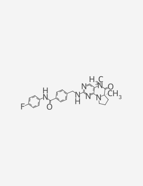 CN1C(=O)[C@@]2(C)CCCN2c2nc(NCc3ccc(C(=O)Nc4ccc(F)cc4)cc3)ncc21